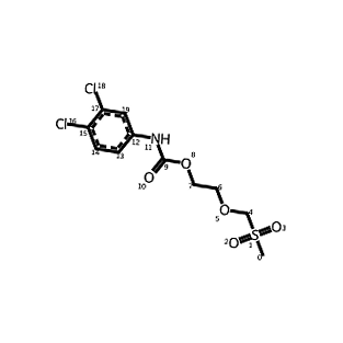 CS(=O)(=O)COCCOC(=O)Nc1ccc(Cl)c(Cl)c1